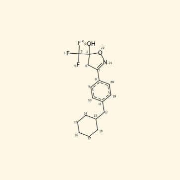 OC1(C(F)(F)F)CC(c2ccc(CC3CCCCC3)cc2)=NO1